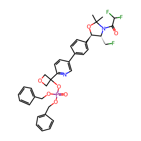 CC1(C)O[C@H](c2ccc(-c3ccc(C4(OP(=O)(OCc5ccccc5)OCc5ccccc5)COC4)nc3)cc2)[C@@H](CF)N1C(=O)C(F)F